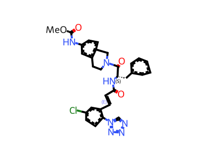 COC(=O)Nc1ccc2c(c1)CCN(C(=O)[C@H](Cc1ccccc1)NC(=O)/C=C/c1cc(Cl)ccc1-n1cnnn1)C2